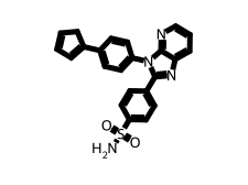 NS(=O)(=O)c1ccc(-c2nc3cccnc3n2-c2ccc(C3=CC=CC3)cc2)cc1